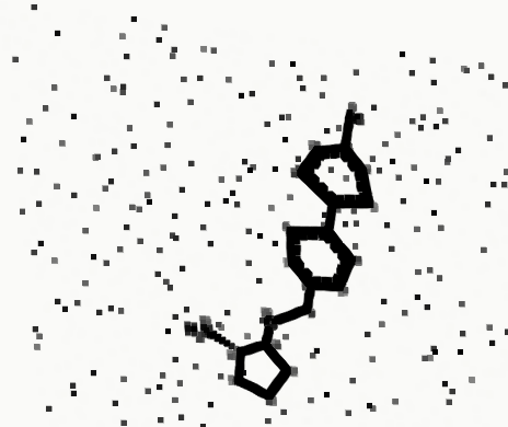 CC(=O)c1ccc(-c2ccc(COC3CCC[C@@H]3N)cc2)cc1